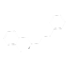 C[C@H](COCc1ccccc1)Oc1ncccc1Br